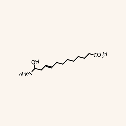 CCCCCCC(O)C/C=C/CCCCCCCC(=O)O